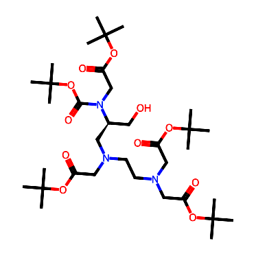 CC(C)(C)OC(=O)CN(CCN(CC(=O)OC(C)(C)C)C[C@H](CO)N(CC(=O)OC(C)(C)C)C(=O)OC(C)(C)C)CC(=O)OC(C)(C)C